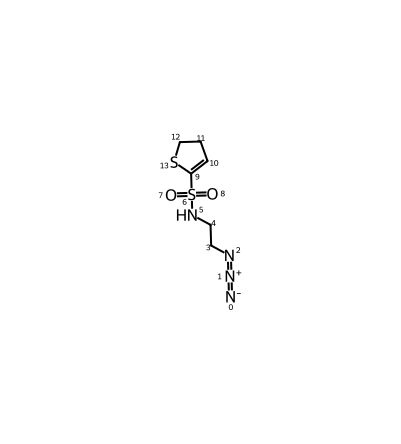 [N-]=[N+]=NCCNS(=O)(=O)C1=CCCS1